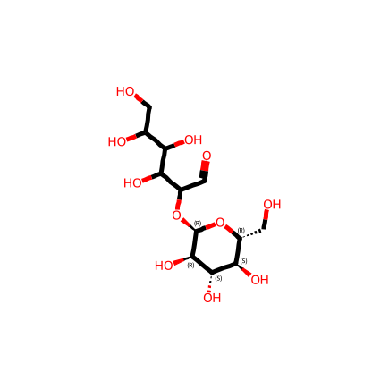 O=CC(O[C@H]1O[C@H](CO)[C@@H](O)[C@H](O)[C@H]1O)C(O)C(O)C(O)CO